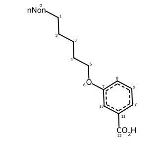 CCCCCCCCCCCCCCOc1cccc(C(=O)O)c1